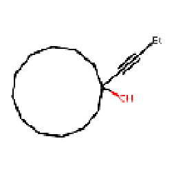 CCC#CC1(O)CCCCCCCCCCC1